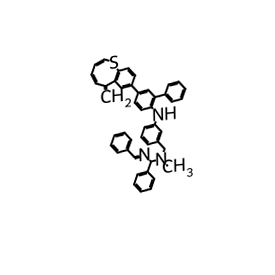 C=C1/C=C\C=C/Sc2ccc(-c3ccc(Nc4cccc(CN(C)C(/N=C/c5ccccc5)c5ccccc5)c4)c(-c4ccccc4)c3)cc21